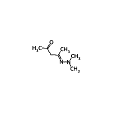 CC(=O)C/C(C)=N/N(C)C